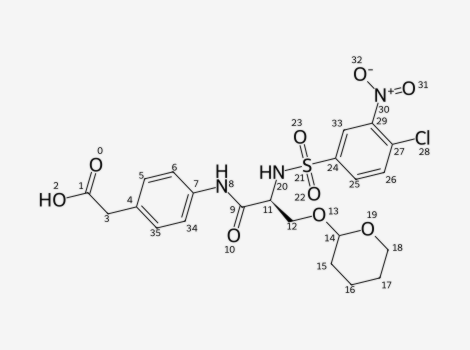 O=C(O)Cc1ccc(NC(=O)[C@H](COC2CCCCO2)NS(=O)(=O)c2ccc(Cl)c([N+](=O)[O-])c2)cc1